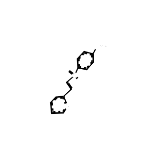 COc1ccc(S(=O)(=O)/C=C/c2ccccn2)cc1